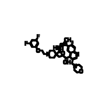 COc1ccc2ncc(CN3CCOCC3)c([C@H](O)CCC3(C(=O)NO)CCN(CCOc4cc(F)cc(F)c4)CC3)c2c1